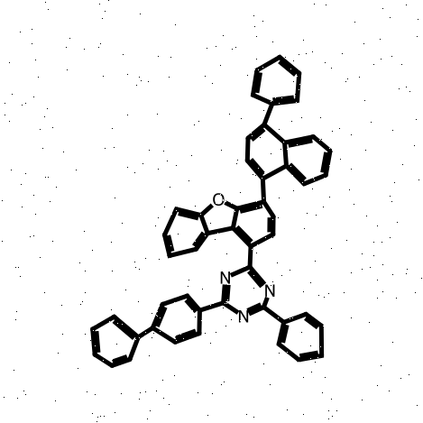 c1ccc(-c2ccc(-c3nc(-c4ccccc4)nc(-c4ccc(-c5ccc(-c6ccccc6)c6ccccc56)c5oc6ccccc6c45)n3)cc2)cc1